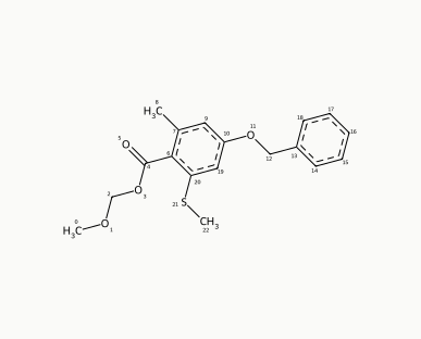 COCOC(=O)c1c(C)cc(OCc2ccccc2)cc1SC